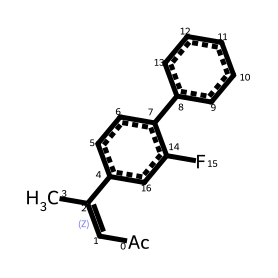 CC(=O)/C=C(/C)c1ccc(-c2ccccc2)c(F)c1